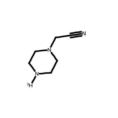 [3H]N1CCN(CC#N)CC1